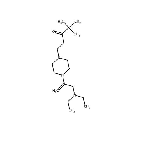 C=C(CN(CC)CC)N1CCN(CCC(=O)C(C)(C)C)CC1